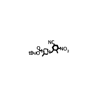 Cc1c(CN2CCN(C(=O)OC(C)(C)C)C(C)C2)cc(C#N)cc1[N+](=O)[O-]